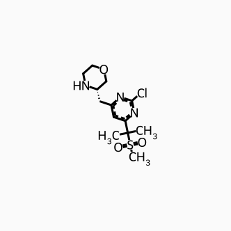 CC(C)(c1cc(C[C@H]2COCCN2)nc(Cl)n1)S(C)(=O)=O